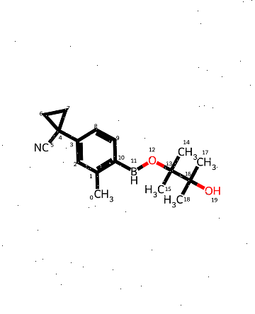 Cc1cc(C2(C#N)CC2)ccc1BOC(C)(C)C(C)(C)O